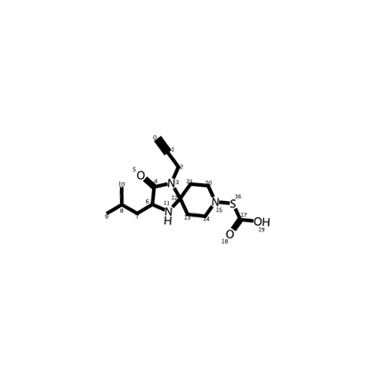 C#CCN1C(=O)C(CC(C)C)NC12CCN(SC(=O)O)CC2